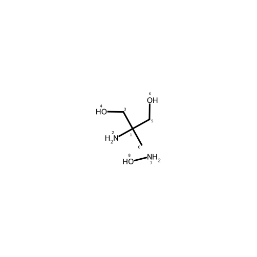 CC(N)(CO)CO.NO